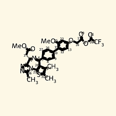 COC(=O)C[C@@H]1N=C(c2ccc(-c3ccc(OCC(=O)OC(=O)C(F)(F)F)cc3OC)cc2)c2c(sc(C)c2C)-n2c(C)nnc21